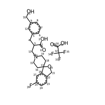 O=C(O)C(Cc1cccc(CO)c1)CN1CCC2(CC1)OCc1ccc(F)cc12.O=C(O)C(F)(F)F